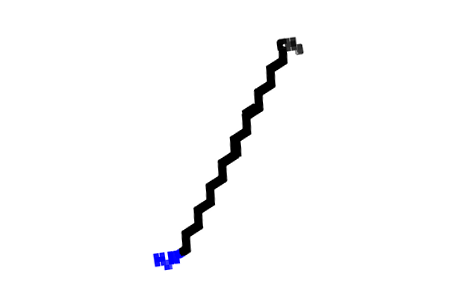 CCCCCC=CCC=CCCCCCCCCN